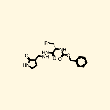 CC(C)C[C@H](NC(=O)OCc1ccccc1)C(=O)NNCC1CCNC1=O